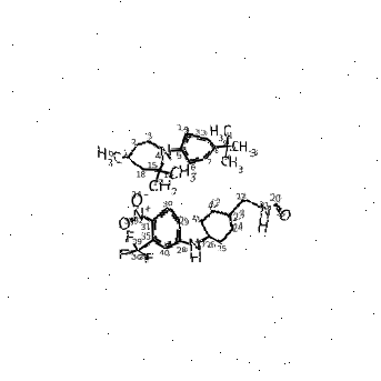 CC1CCN(c2ccc(C(C)(C)C)cc2)C(C)(C)C1.O=CNCC1CCC(Nc2ccc([N+](=O)[O-])c(C(F)(F)F)c2)CC1